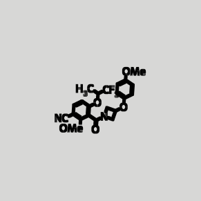 COc1ccc(OC2CN(C(=O)c3c(OC(C)C(F)(F)F)ccc(C#N)c3OC)C2)cc1